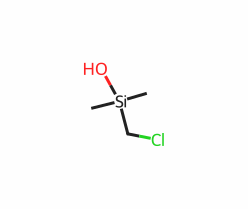 C[Si](C)(O)CCl